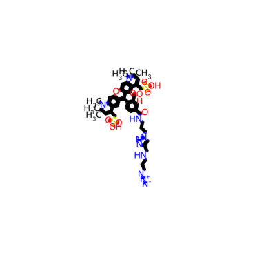 CN1c2cc3c(cc2C(CS(=O)(=O)O)=CC1(C)C)C(c1ccc(C(=O)NCCCn2cc(CNCCCN=[N+]=[N-])nn2)cc1C(=O)O)=c1cc2c(cc1O3)=[N+](C)C(C)(C)C=C2CS(=O)(=O)O